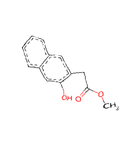 COC(=O)Cc1cc2ccccc2cc1O